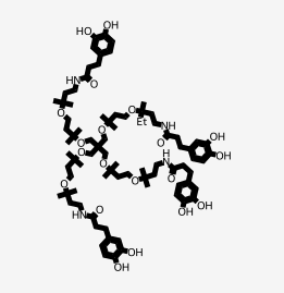 CCC(C)(CCNC(=O)CCc1ccc(O)c(O)c1)OCCC(C)(C)OCC(COC(C)(C)CCOC(C)(C)CCNC(=O)CCc1ccc(O)c(O)c1)(COC(C)(C)CCOC(C)(C)CCNC(=O)CCc1ccc(O)c(O)c1)COC(C)(C)CCOC(C)(C)CCNC(=O)CCc1ccc(O)c(O)c1